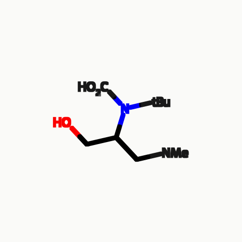 CNCC(CO)N(C(=O)O)C(C)(C)C